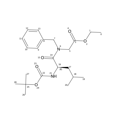 CCOC(=O)CN(Cc1ccccc1)C(=O)[C@@H](CC(C)C)NC(=O)OC(C)(C)C